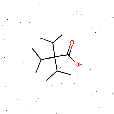 CC(C)C(C(=O)O)(C(C)C)C(C)C